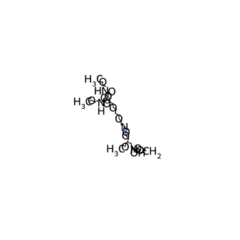 C=COON(O)CCC(COC)COO/C=N/CCOCCCOCC(COC(=O)NCCOC)OC(=O)NCCOC